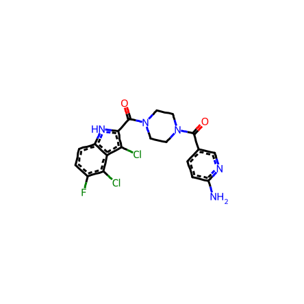 Nc1ccc(C(=O)N2CCN(C(=O)c3[nH]c4ccc(F)c(Cl)c4c3Cl)CC2)cn1